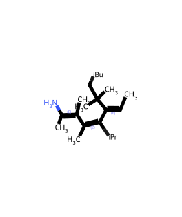 C/C=C(/C(=C(C)\C(C)=C(/C)N)C(C)C)C(C)(C)CC(C)CC